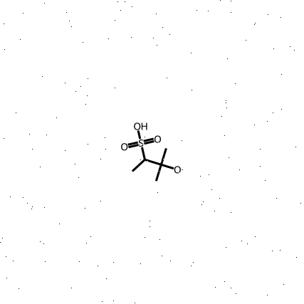 CC(C(C)(C)[O])S(=O)(=O)O